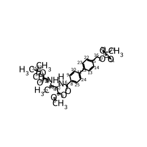 COC(=O)[C@@H](NC(=O)c1ccc(-c2ccc(COS(C)(=O)=O)cc2)cc1)[C@@H](C)NC(=O)OC(C)(C)C